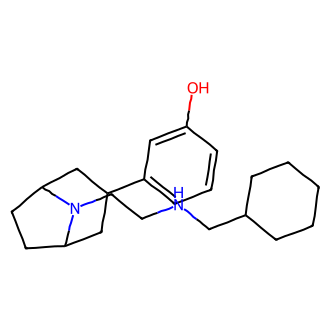 Oc1cccc(C2CC3CCC(C2)N3CCNCC2CCCCC2)c1